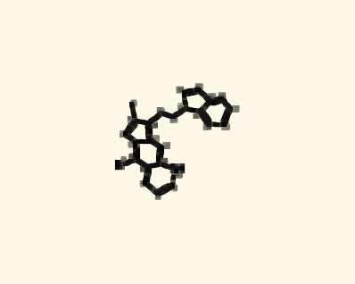 Cc1cc2c(Br)c3ccc[nH]c3cc2c1CCC1C=Cc2ccccc21